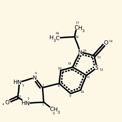 CC1NC(=O)NN=C1c1ccc2sc(=O)n(C(C)C)c2c1